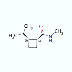 CNC(=O)[C@H]1CC[C@H]1C(C)C